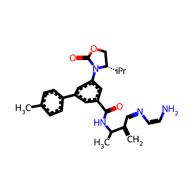 C=C(/C=N\C=C/N)C(C)NC(=O)c1cc(-c2ccc(C)cc2)cc(N2C(=O)OC[C@@H]2C(C)C)c1